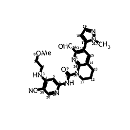 COCCNc1cc(NC(=O)N2CCCc3cc(-c4ccnn4C)c(C=O)nc32)ncc1C#N